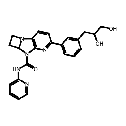 O=C(Nc1ccccn1)N1c2nc(-c3cccc(CC(O)CO)c3)ccc2N2CCC21